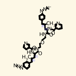 CC(/C=C(\NC(=O)c1cccnc1)C(=O)NCCOCCNC(=O)/C(=C/C(C)=C/c1ccc(N=[N+]=[N-])cc1)NC(=O)c1cccnc1)=C\c1ccc(N=[N+]=[N-])cc1